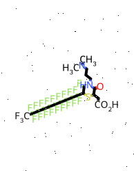 CN(C)CCCNC(=O)C(CC(=O)O)SC(CF)C(F)(F)C(F)(F)C(F)(F)C(F)(F)C(F)(F)C(F)(F)C(F)(F)C(F)(F)C(F)(F)C(F)(F)F